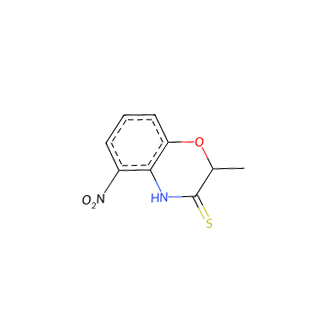 CC1Oc2cccc([N+](=O)[O-])c2NC1=S